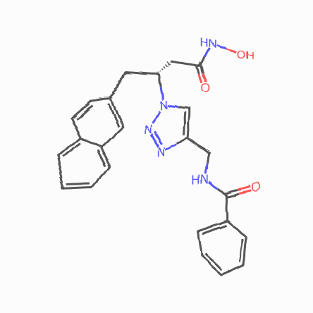 O=C(C[C@@H](Cc1ccc2ccccc2c1)n1cc(CNC(=O)c2ccccc2)nn1)NO